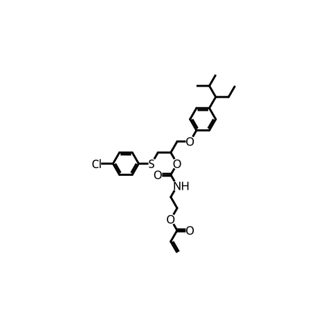 C=CC(=O)OCCNC(=O)OC(COc1ccc(C(CC)C(C)C)cc1)CSc1ccc(Cl)cc1